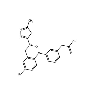 Cc1nnc([S+]([O-])Cc2cc(Br)ccc2Oc2cccc(CC(=O)O)c2)s1